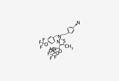 Cc1sc(N(CCc2ccc(C#N)cc2)Cc2ccc(OC(F)(F)F)cc2)nc1C(=O)NS(=O)(=O)C(F)(F)F